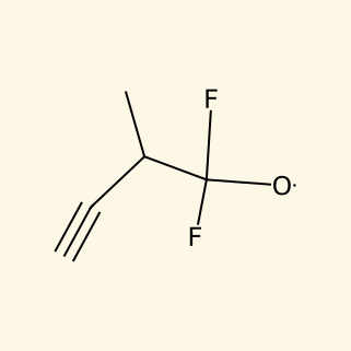 C#CC(C)C([O])(F)F